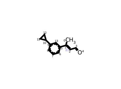 C/C(=C\C=O)c1cccc(C2CC2)c1